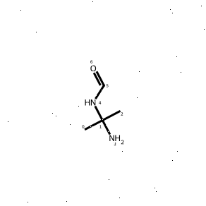 CC(C)(N)NC=O